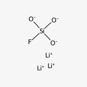 [Li+].[Li+].[Li+].[O-][Si]([O-])([O-])F